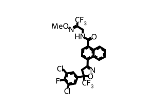 CON=C(CNC(=O)c1ccc(C2=NOC(c3cc(Cl)c(F)c(Cl)c3)(C(F)(F)F)C2)c2ccccc12)C(F)(F)F